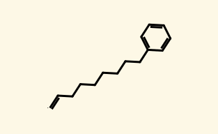 [CH]=CCCCCCCCc1ccccc1